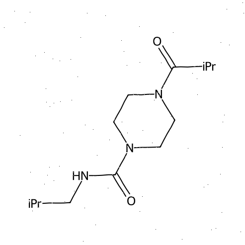 CC(C)CNC(=O)N1CCN(C(=O)C(C)C)CC1